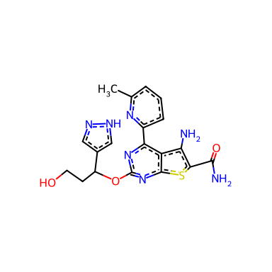 Cc1cccc(-c2nc(OC(CCO)c3cn[nH]c3)nc3sc(C(N)=O)c(N)c23)n1